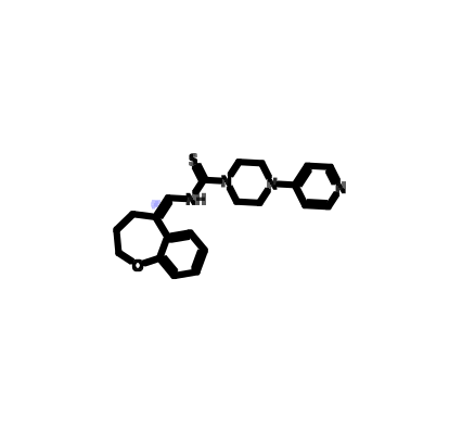 S=C(N/C=C1/CCCOc2ccccc21)N1CCN(c2ccncc2)CC1